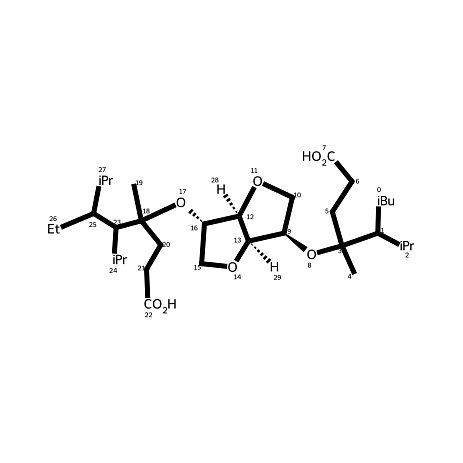 CCC(C)C(C(C)C)C(C)(CCC(=O)O)O[C@@H]1CO[C@H]2[C@@H]1OC[C@@H]2OC(C)(CCC(=O)O)C(C(C)C)C(CC)C(C)C